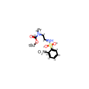 CC(C)N(CCNS(=O)(=O)c1ccccc1[N+](=O)[O-])C(=O)OC(C)(C)C